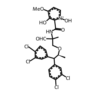 COc1cc[n+](O)c(C(=O)NC(C)(C=O)CO[C@@H](C)C(c2ccc(Cl)c(Cl)c2)c2ccc(Cl)c(Cl)c2)c1O